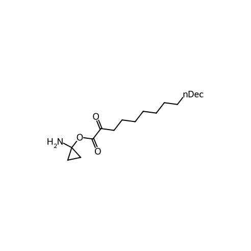 CCCCCCCCCCCCCCCCCC(=O)C(=O)OC1(N)CC1